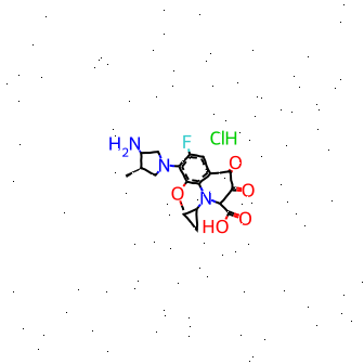 COc1c(N2C[C@@H](C)[C@H](N)C2)c(F)cc2c1N(C1CC1)C(C(=O)O)C(=O)C2=O.Cl